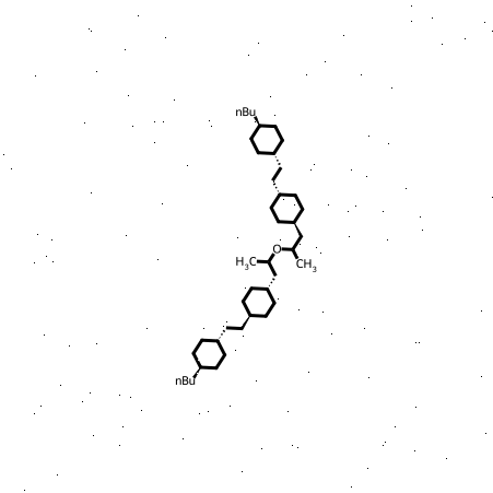 CCCC[C@H]1CC[C@H](CC[C@H]2CC[C@H](CC(C)OC(C)C[C@H]3CC[C@H](CC[C@H]4CC[C@H](CCCC)CC4)CC3)CC2)CC1